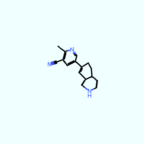 Cc1ncc(C2=CC3CNCCC3CC2)cc1C#N